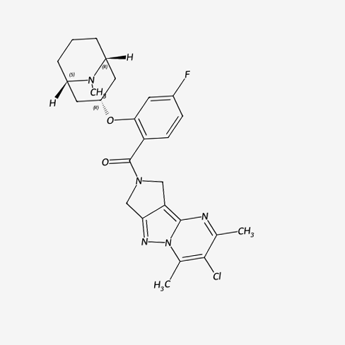 Cc1nc2c3c(nn2c(C)c1Cl)CN(C(=O)c1ccc(F)cc1O[C@H]1C[C@H]2CCC[C@@H](C1)N2C)C3